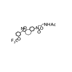 CC(=O)NCC1CN(c2ccc3c(c2)CCCc2c(-c4cccc(OC(F)(F)F)c4)noc2-3)C(=O)O1